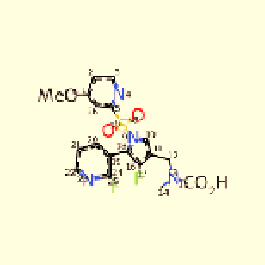 COc1ccnc(S(=O)(=O)n2cc(CN(C)C(=O)O)c(F)c2-c2cccnc2F)c1